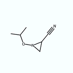 CC(C)ON1CC1C#N